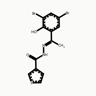 C/C(=N\NC(=O)c1ccsc1)c1cc(Br)cc(Br)c1O